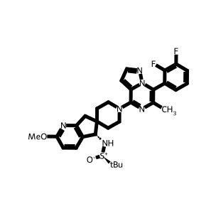 COc1ccc2c(n1)CC1(CCN(c3nc(C)c(-c4cccc(F)c4F)n4nccc34)CC1)[C@@H]2N[S@+]([O-])C(C)(C)C